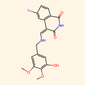 COc1cc(CN/C=C2\C(=O)NC(=O)c3ccc(I)cc32)cc(O)c1OC